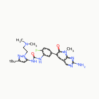 CN(C)CCn1nc(C(C)(C)C)cc1NC(=O)Nc1cc(-c2cc3cnc(N)nc3n(C)c2=O)ccc1F